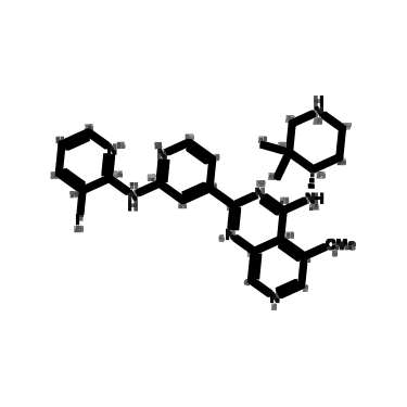 COc1cncc2nc(-c3ccnc(Nc4ncccc4F)c3)nc(N[C@H]3CCNCC3(C)C)c12